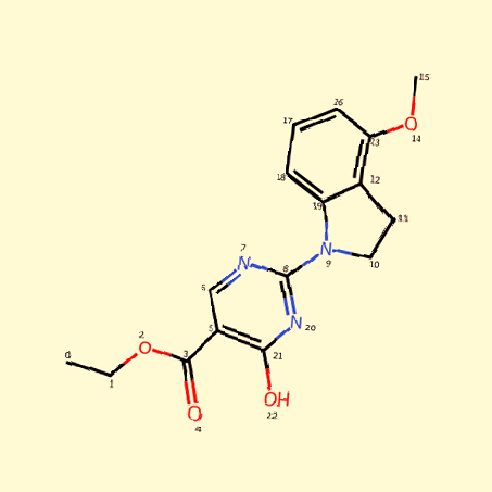 CCOC(=O)c1cnc(N2CCc3c(OC)cccc32)nc1O